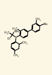 CCCCC(C)(CC)N(C1=CC=C(C)CC1C)c1ccc(-c2ccc(C(C)CC)c(C)c2)cc1C